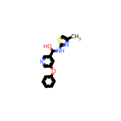 Cc1csc(NC(O)c2cncc(Oc3ccccc3)c2)n1